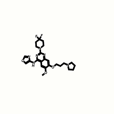 COc1cc2c(Nc3cocn3)nc(N3CCC(F)(F)CC3)nc2cc1OCCCN1CCCC1